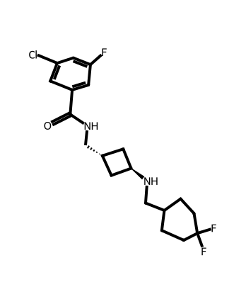 O=C(NC[C@H]1C[C@H](NCC2CCC(F)(F)CC2)C1)c1cc(F)cc(Cl)c1